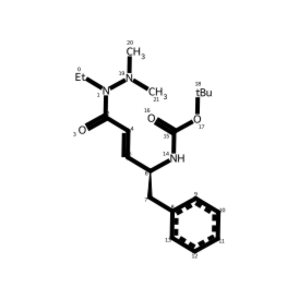 CCN(C(=O)C=C[C@H](Cc1ccccc1)NC(=O)OC(C)(C)C)N(C)C